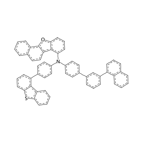 c1cc(-c2ccc(N(c3ccc(-c4cccc5sc6ccccc6c45)cc3)c3cccc4oc5c6ccccc6ccc5c34)cc2)cc(-c2cccc3ccccc23)c1